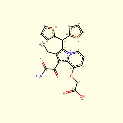 CCc1c(C(=O)C(N)=O)c2c(OCC(=O)O)cccn2c1C(c1cccs1)c1cccs1